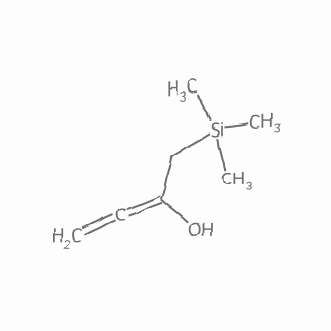 C=C=C(O)C[Si](C)(C)C